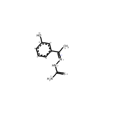 C/C(=N/NC(N)=S)c1cccc(O)c1